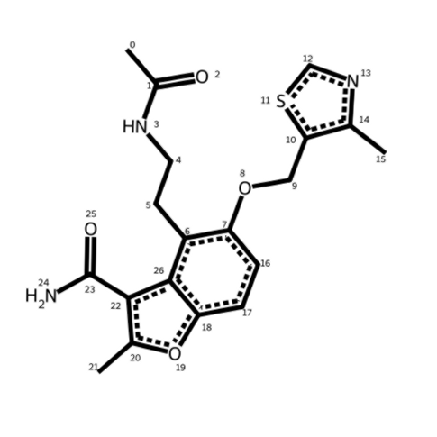 CC(=O)NCCc1c(OCc2scnc2C)ccc2oc(C)c(C(N)=O)c12